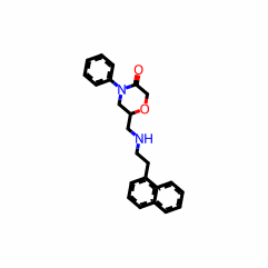 O=C1COC(CNCCc2cccc3ccccc23)CN1c1ccccc1